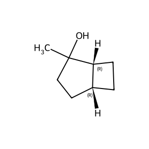 CC1(O)CC[C@H]2CC[C@H]21